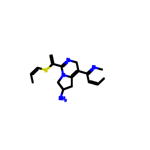 C=C(S/C=C\C)C1=NCC(C(/C=C\C)=N/C)=C2CC(N)CN12